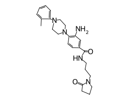 Cc1ccccc1N1CCN(c2ccc(C(=O)NCCCN3CCCC3=O)cc2N)CC1